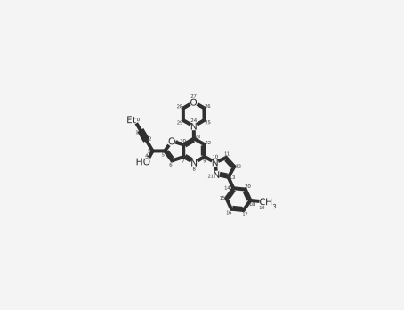 CCC#CC(O)c1cc2nc(-n3ccc(-c4cccc(C)c4)n3)cc(N3CCOCC3)c2o1